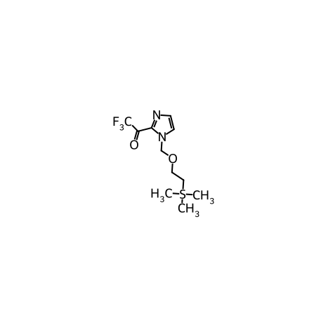 CS(C)(C)CCOCn1ccnc1C(=O)C(F)(F)F